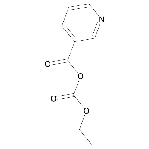 CCOC(=O)OC(=O)c1cccnc1